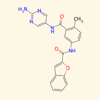 Cc1ccc(NC(=O)c2cc3ccccc3o2)cc1C(=O)Nc1cnc(N)nc1